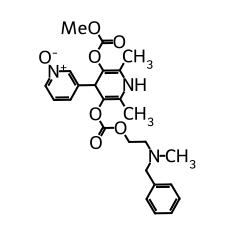 COC(=O)OC1=C(C)NC(C)=C(OC(=O)OCCN(C)Cc2ccccc2)C1c1ccc[n+]([O-])c1